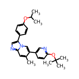 Cc1cc2ncc(-c3ccc(OC(C)C)cc3)n2cc1-c1ccc(OC(C)(C)C)nc1